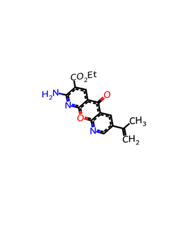 C=C(C)c1cnc2oc3nc(N)c(C(=O)OCC)cc3c(=O)c2c1